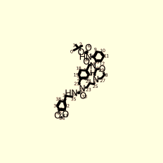 CC(C)(C)OC(=O)Nc1ccccc1NC(=O)c1ccc(CN(CCCN2CCOCC2)C(=O)NCCc2ccc3c(c2)OCO3)cc1